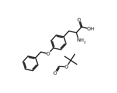 CC(C)(C)O[C]=O.NC(Cc1ccc(OCc2ccccc2)cc1)C(=O)O